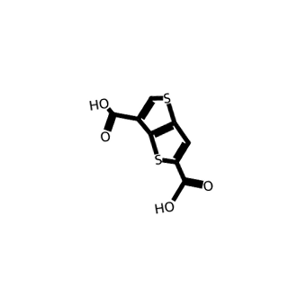 O=C(O)c1cc2scc(C(=O)O)c2s1